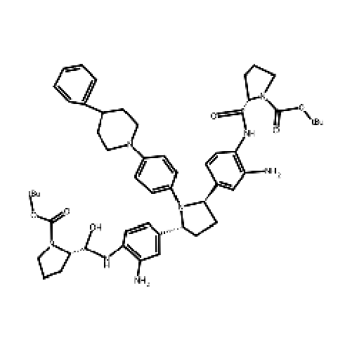 CC(C)(C)OC(=O)N1CCC[C@H]1C(=O)Nc1ccc([C@H]2CC[C@H](c3ccc(NC(O)[C@@H]4CCCN4C(=O)OC(C)(C)C)c(N)c3)N2c2ccc(N3CCC(c4ccccc4)CC3)cc2)cc1N